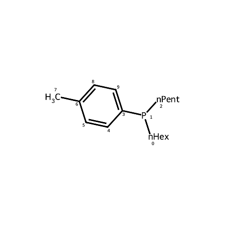 CCCCCCP(CCCCC)c1ccc(C)cc1